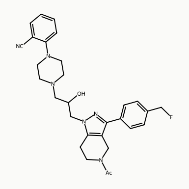 CC(=O)N1CCc2c(c(-c3ccc(CF)cc3)nn2CC(O)CN2CCN(c3ccccc3C#N)CC2)C1